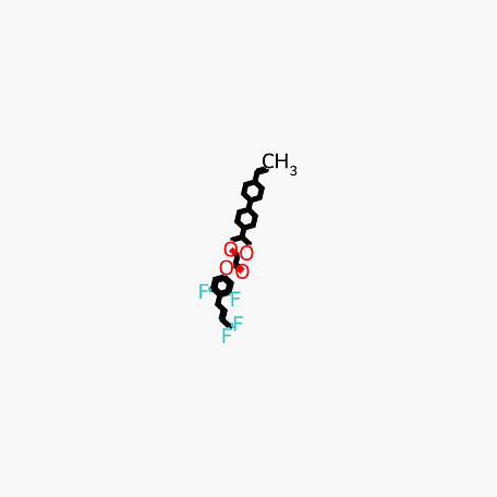 C/C=C/C1CCC(C2CCC(C3COC(C(=O)Oc4cc(F)c(C/C=C/C(F)F)c(F)c4)OC3)CC2)CC1